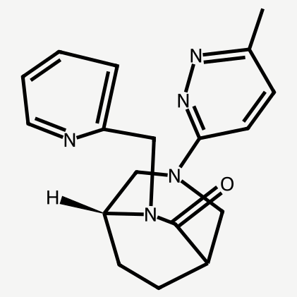 Cc1ccc(N2CC3CC[C@H](C2)N(Cc2ccccn2)C3=O)nn1